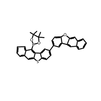 CC1(C)OB(c2c3ccccc3cc3sc4ccc(-c5ccc6oc7cc8ccccc8cc7c6c5)cc4c23)OC1(C)C